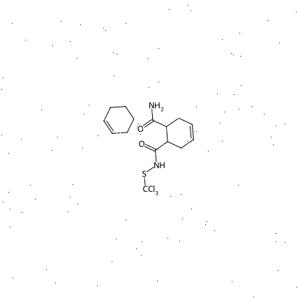 C1=CCCCC1.NC(=O)C1CC=CCC1C(=O)NSC(Cl)(Cl)Cl